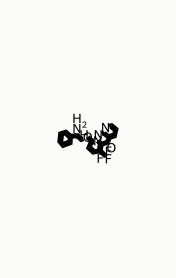 Nc1ncccc1C(=O)c1nc(OCC(N)c2ccccc2)ccc1C(F)(F)F